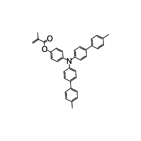 C=C(C)C(=O)Oc1ccc(N(c2ccc(-c3ccc(C)cc3)cc2)c2ccc(-c3ccc(C)cc3)cc2)cc1